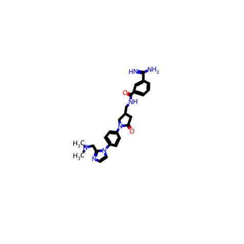 CN(C)Cc1nccn1-c1ccc(N2CC(CNC(=O)c3cccc(C(=N)N)c3)CC2=O)cc1